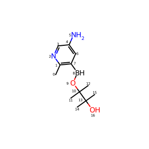 Cc1ncc(N)cc1BOC(C)(C)C(C)(C)O